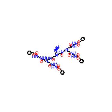 [N-]=[N+]=NCCN(CCC(=O)NCCN(CCC(=O)NCCNC(=O)OCc1ccccc1)CCC(=O)NCCNC(=O)OCc1ccccc1)CCC(=O)NCCN(CCC(=O)NCCNC(=O)OCc1ccccc1)CCC(=O)NCCNC(=O)OCc1ccccc1